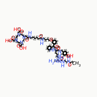 CCC(=O)NCCNC(=O)/N=C(/N)NCCC[C@@H](NC(=O)[C@@H](c1ccccc1)c1cccc(OCCCCNC(=O)CCCCCNC(=O)CN2CCN(CC(=O)O)CCN(CC(=O)O)CCN(CC(=O)O)CC2)c1)C(=O)NCc1ccc(O)cc1